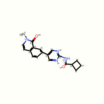 CCCn1ccc2ccc(-c3cnc(NC(=O)C4CCC4)nc3)cc2c1=O